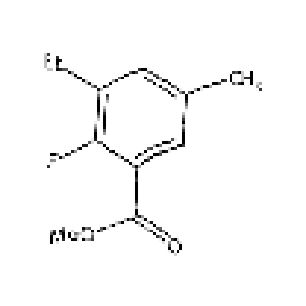 CCc1cc(C)cc(C(=O)OC)c1F